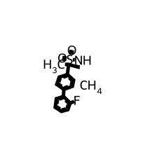 C.CC1(c2ccc(-c3ccccc3F)cc2)CNS1(=O)=O